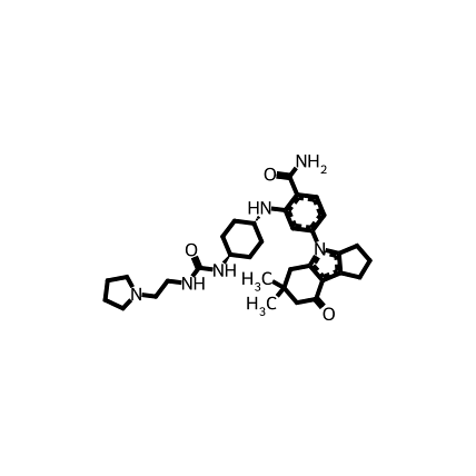 CC1(C)CC(=O)c2c3c(n(-c4ccc(C(N)=O)c(N[C@H]5CC[C@H](NC(=O)NCCN6CCCC6)CC5)c4)c2C1)CCC3